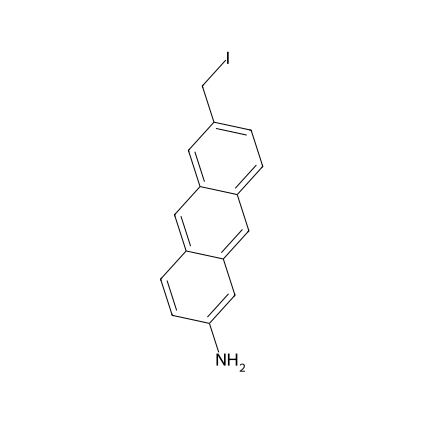 Nc1ccc2cc3cc(CI)ccc3cc2c1